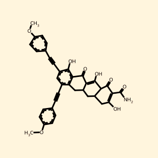 COc1ccc(C#Cc2cc(C#Cc3ccc(OC)cc3)c3c(c2O)C(=O)C2=C(O)C4C(=O)C(C(N)=O)=C(O)CC4CC2C3)cc1